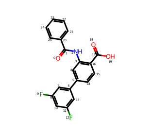 O=C(Nc1cc(-c2cc(F)cc(F)c2)ccc1C(=O)O)c1ccccc1